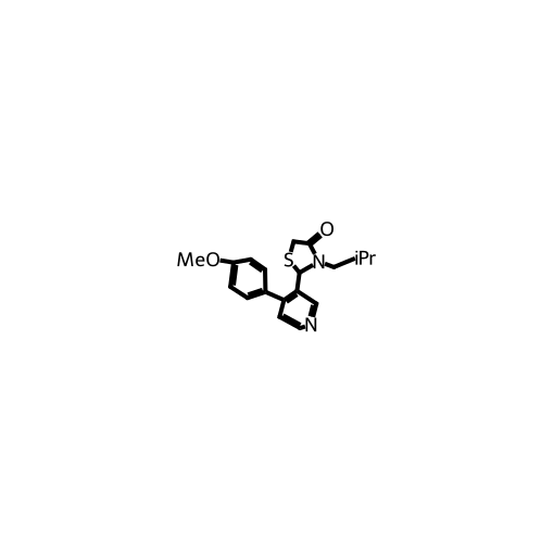 COc1ccc(-c2ccncc2C2SCC(=O)N2CC(C)C)cc1